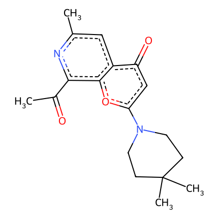 CC(=O)c1nc(C)cc2c(=O)cc(N3CCC(C)(C)CC3)oc12